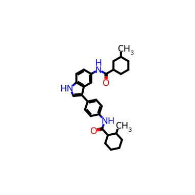 CC1CCCC(C(=O)Nc2ccc3[nH]cc(-c4ccc(NC(=O)C5CCCCC5C)cc4)c3c2)C1